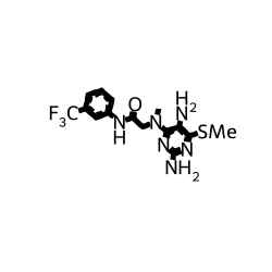 CSc1nc(N)nc(N(C)CC(=O)Nc2cccc(C(F)(F)F)c2)c1N